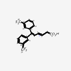 O=C(O)C/C=C/C=C(c1cccc(C(F)(F)F)c1)c1cccc(C(F)(F)F)c1